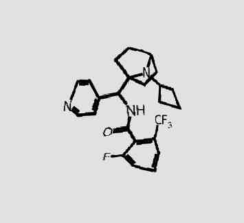 O=C(NC(c1ccncc1)C12CCC(CC1)N2C1CCC1)c1c(F)cccc1C(F)(F)F